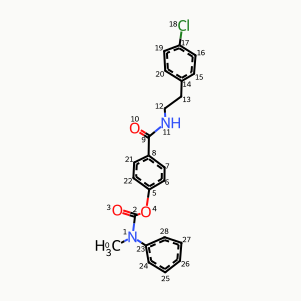 CN(C(=O)Oc1ccc(C(=O)NCCc2ccc(Cl)cc2)cc1)c1ccccc1